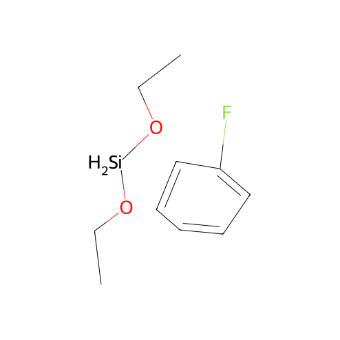 CCO[SiH2]OCC.Fc1ccccc1